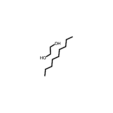 CCCCCCCCC.OCCO